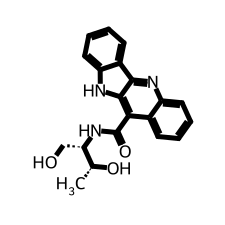 C[C@@H](O)[C@H](CO)NC(=O)c1c2ccccc2nc2c1[nH]c1ccccc12